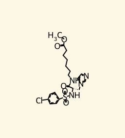 COC(=O)CCCCCCNC(=O)[C@H](Cn1ccnc1)NS(=O)(=O)c1ccc(Cl)cc1